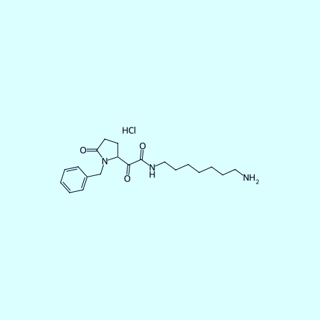 Cl.NCCCCCCCNC(=O)C(=O)C1CCC(=O)N1Cc1ccccc1